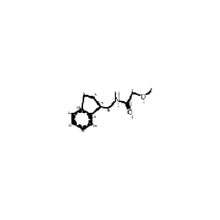 COCC(=O)NCC1CCc2ccccc21